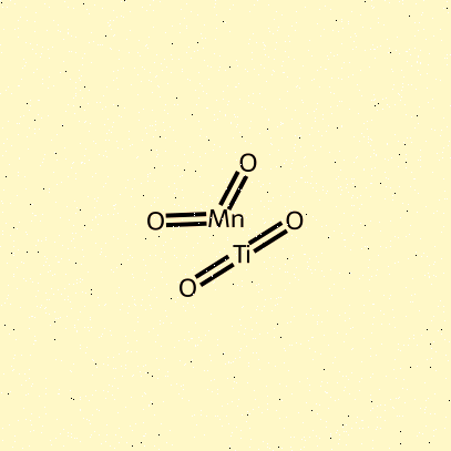 [O]=[Mn]=[O].[O]=[Ti]=[O]